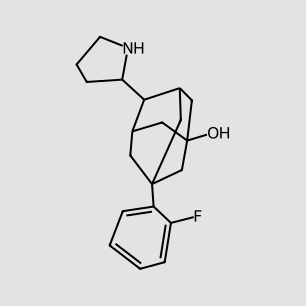 OC12CC3CC(c4ccccc4F)(CC(C1)C3C1CCCN1)C2